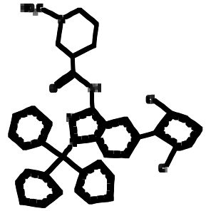 O=C(Nc1nn(C(c2ccccc2)(c2ccccc2)c2ccccc2)c2ccc(-c3c(Cl)cccc3Cl)cc12)C1CCCN(C(=O)O)C1